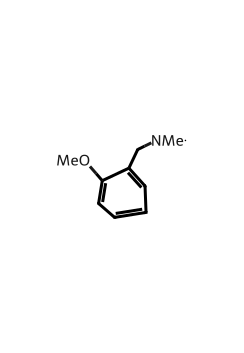 C[N]Cc1ccccc1OC